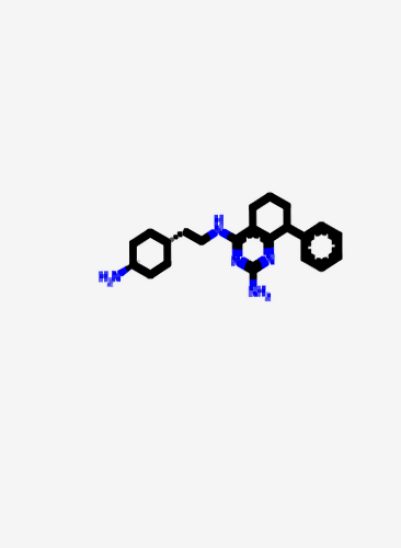 Nc1nc(NCC[C@H]2CC[C@H](N)CC2)c2c(n1)C(c1ccccc1)CCC2